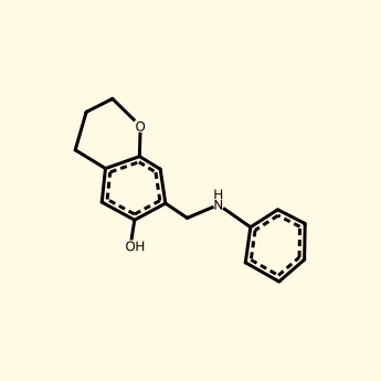 Oc1cc2c(cc1CNc1ccccc1)OCCC2